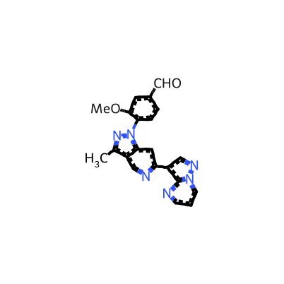 COc1cc(C=O)ccc1-n1nc(C)c2cnc(-c3cnn4cccnc34)cc21